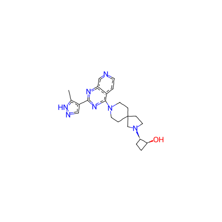 Cc1[nH]ncc1-c1nc(N2CCC3(CC2)CCN([C@@H]2CC[C@@H]2O)C3)c2ccncc2n1